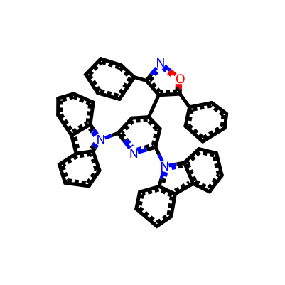 c1ccc(-c2noc(-c3ccccc3)c2-c2cc(-n3c4ccccc4c4ccccc43)nc(-n3c4ccccc4c4ccccc43)c2)cc1